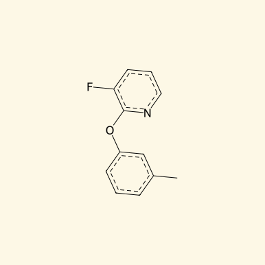 Cc1cccc(Oc2ncccc2F)c1